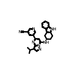 CC(C)c1cnn2c(N[C@@H]3CCc4[nH]c5ccccc5c4C3)cc(-c3cncc(C#N)c3)nc12